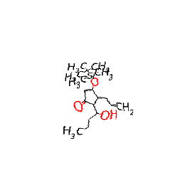 C=CCC1C(O[Si](C)(C)C(C)(C)C)CC(=O)C1C(O)CCC